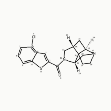 O=C(c1cc2c(Cl)cccc2s1)N1C[C@@H]2C[C@H]3N4CCC23[C@@H]1C4